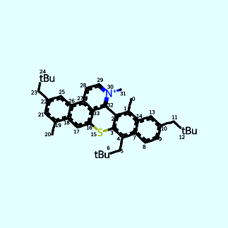 Cc1c2c(c(CC(C)(C)C)c3ccc(CC(C)(C)C)cc13)Sc1cc3c(C)cc(CC(C)(C)C)cc3c3cc[n+](C)c-2c13